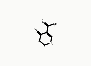 O=C(O)C1=COCCC1=O